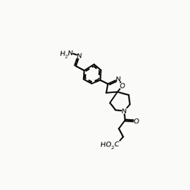 NN=Cc1ccc(C2=NOC3(CCN(C(=O)CCC(=O)O)CC3)C2)cc1